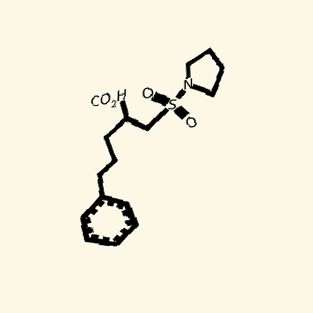 O=C(O)C(CCCc1ccccc1)CS(=O)(=O)N1CCCC1